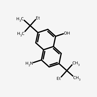 CCC(C)(C)c1cc(O)c2cc(C(C)(C)CC)cc(N)c2c1